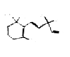 C=CC(C)(O)/C=C/C1=C(C)CCCC1(C)C